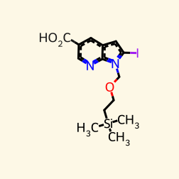 C[Si](C)(C)CCOCn1c(I)cc2cc(C(=O)O)cnc21